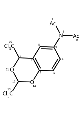 CC(=O)N(C(C)=O)c1ccc2c(c1)C(C(Cl)(Cl)Cl)OC(C(Cl)(Cl)Cl)O2